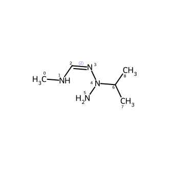 CN/C=N\N(N)C(C)C